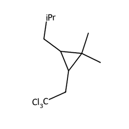 CC(C)CC1C(CC(Cl)(Cl)Cl)C1(C)C